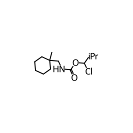 CC(C)C(Cl)OC(=O)NCC1(C)CCCCC1